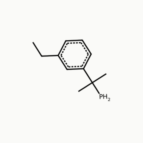 CCc1cccc(C(C)(C)P)c1